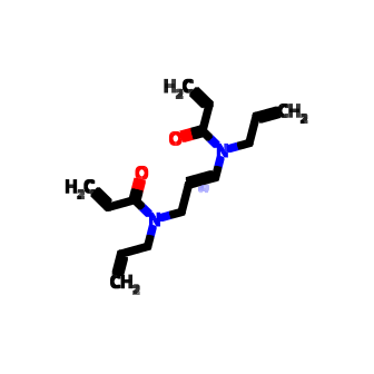 C=CCN(/C=C/CN(CC=C)C(=O)C=C)C(=O)C=C